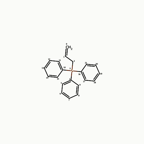 C=CCS(c1ccccc1)(c1ccccc1)c1ccccc1